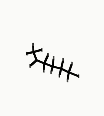 I[C](C(I)(I)I)C(I)(I)C(I)(I)C(I)(I)C(I)(I)I